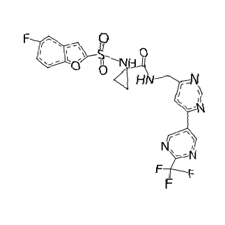 O=C(NCc1cc(-c2cnc(C(F)(F)F)nc2)ncn1)C1(NS(=O)(=O)c2cc3cc(F)ccc3o2)CC1